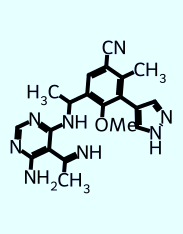 COc1c(C(C)Nc2ncnc(N)c2C(C)=N)cc(C#N)c(C)c1-c1cn[nH]c1